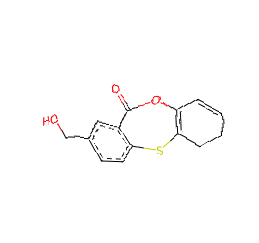 O=C1OC2=C(CCC=C2)Sc2ccc(CO)cc21